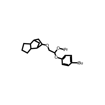 CCC(C)c1ccc(OC(COC2CC3CC2C2CCCC32)OC(C)C)cc1